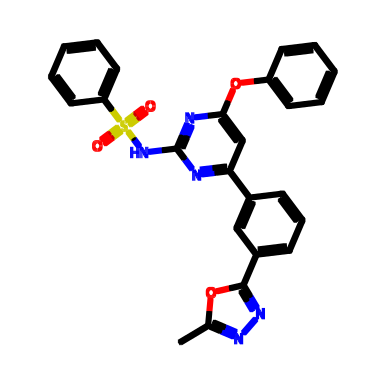 Cc1nnc(-c2cccc(-c3cc(Oc4ccccc4)nc(NS(=O)(=O)c4ccccc4)n3)c2)o1